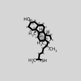 CC(S)CCC[C@@H](C)[C@H]1CC[C@H]2[C@@H]3CC=C4C[C@@H](O)CC[C@]4(C)[C@H]3CC[C@]12C